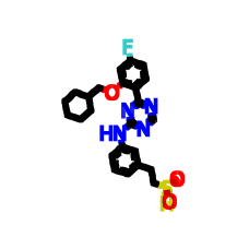 O=[SH](=O)CCc1cccc(Nc2ncnc(-c3ccc(F)cc3OCC3CCCCC3)n2)c1